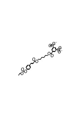 CCOC(=O)Oc1ccc(C=CC(=O)OCCCCCCOC(=O)c2cc([N+](=O)[O-])cc([N+](=O)[O-])c2)cc1